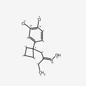 CC/C(CC1(c2ccc(Cl)c(Cl)c2)CCC1)=N/O